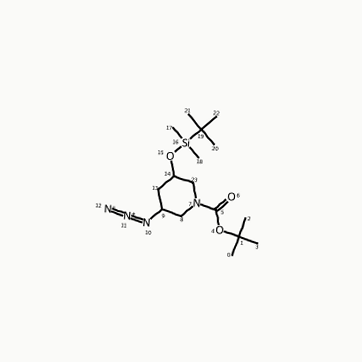 CC(C)(C)OC(=O)N1CC(N=[N+]=[N-])CC(O[Si](C)(C)C(C)(C)C)C1